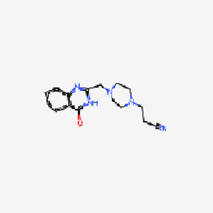 N#CCCN1CCN(Cc2nc3ccccc3c(=O)[nH]2)CC1